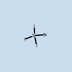 Br[Si](I)(I)I